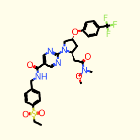 CCS(=O)(=O)c1ccc(CNC(=O)c2cnc(N3C[C@H](Oc4ccc(C(F)(F)F)cc4)C[C@H]3CC(=O)N(C)OC)nc2)cc1